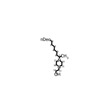 CCCCCCCCCCCCCCCCC(C)N1CCN(CCO)CC1